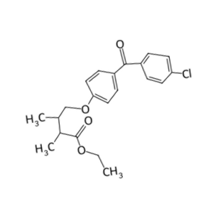 CCOC(=O)C(C)C(C)COc1ccc(C(=O)c2ccc(Cl)cc2)cc1